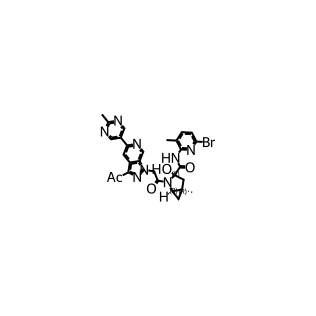 CC(=O)c1nn(CC(=O)N2[C@@H]3C[C@]3(C)C[C@@]2(O)C(=O)Nc2nc(Br)ccc2C)c2cnc(-c3cnc(C)nc3)cc12